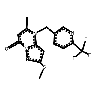 CSc1cc2n(Cc3ccc(C(F)(F)F)nc3)c(C)cc(=O)n2n1